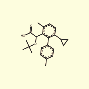 Cc1ccc(-c2c(C3CC3)ccc(C)c2C(OC(C)(C)C)C(=O)O)cc1